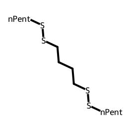 CCCCCSSCCCCSSCCCCC